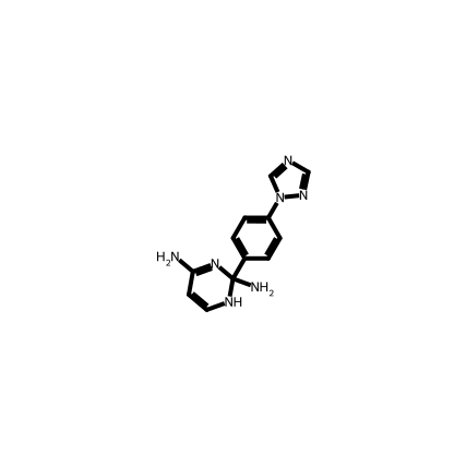 NC1=NC(N)(c2ccc(-n3cncn3)cc2)NC=C1